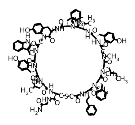 CCCC[C@H]1C(=O)N(C)CC(=O)N[C@@H](Cc2ccc(O)cc2)C(=O)N[C@@H](C(C)C)C(=O)N(C)[C@@H](Cc2ccccc2)C(=O)N[C@H]2Cc3ccc(O)cc3N(CC(=O)N[C@@H](Cc3c[nH]c4ccccc34)C(=O)N[C@@H](Cc3ccc(O)cc3)C(=O)N[C@@H](CC(C)C)C(=O)N[C@H](C(=O)NCC(N)=O)CSCC(=O)N[C@@H](CCc3ccccc3)C(=O)N(C)[C@@H](Cc3ccccc3)C(=O)N1C)C2=O